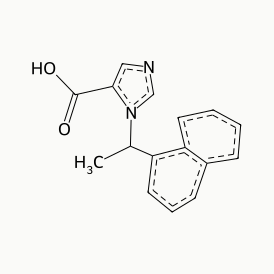 CC(c1cccc2ccccc12)n1cncc1C(=O)O